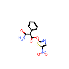 NC(=O)C(C(=O)Oc1ncc([N+](=O)[O-])s1)c1ccccc1